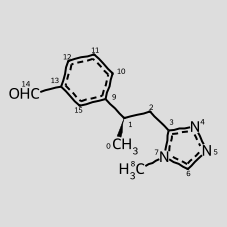 C[C@H](Cc1nncn1C)c1cccc(C=O)c1